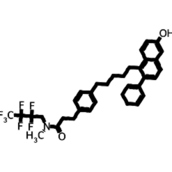 CN(CC(F)(F)C(F)(F)C(F)(F)F)C(=O)CCc1ccc(CCCCCc2c(C3=CCCC=C3)ccc3cc(O)ccc23)cc1